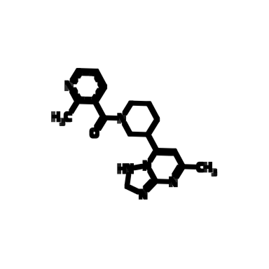 CC1=NC2=NCNN2C(C2CCCN(C(=O)c3cccnc3C)C2)=C1